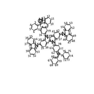 O[PH](c1ccccc1)(c1ccccc1)c1ccc(-n2c3cc(-n4c5ccccc5c5ccccc54)ccc3c3c2c2ccc(-n4c5ccccc5c5ccccc54)cc2n3-c2ccc(P(c3ccccc3)c3ccccc3)cc2)cc1